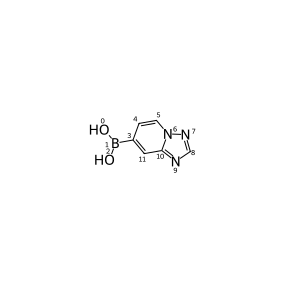 OB(O)c1ccn2ncnc2c1